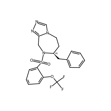 O=S(=O)(c1ccccc1OC(F)(F)F)N1Cc2nncn2CC[C@H]1Cc1ccccc1